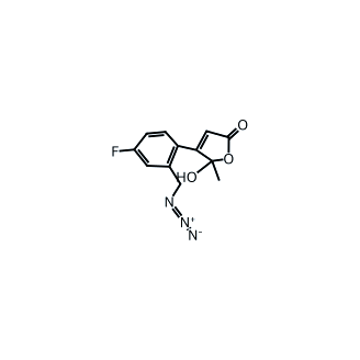 CC1(O)OC(=O)C=C1c1ccc(F)cc1CN=[N+]=[N-]